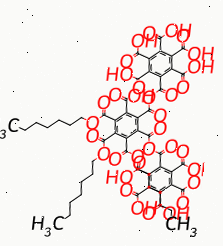 CCCCCCCOC(=O)c1c(C(=O)O)c(C(=O)OC(=O)c2c(C(=O)O)c(C(=O)O)c(C(=O)O)c(C(=O)O)c2C(=O)O)c(C(=O)OC(=O)c2c(C(=O)O)c(C(=O)O)c(C(=O)O)c(C(=O)O)c2C(=O)O)c(C(=O)OCCCCCCC)c1C(=O)OCCCCCCC